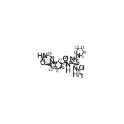 C=CC(=O)Nc1sc(N2CCCCC2)nc1NC(=O)c1ccc2cc3n(c2c1)CCNCOC3